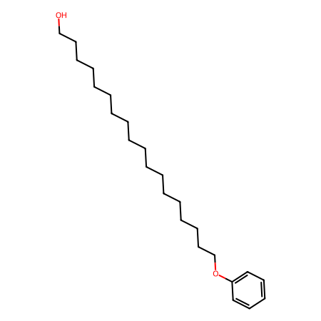 OCCCCCCCCCCCCCCCCCCOc1ccccc1